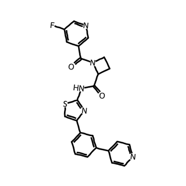 O=C(Nc1nc(-c2cccc(-c3ccncc3)c2)cs1)C1CCN1C(=O)c1cncc(F)c1